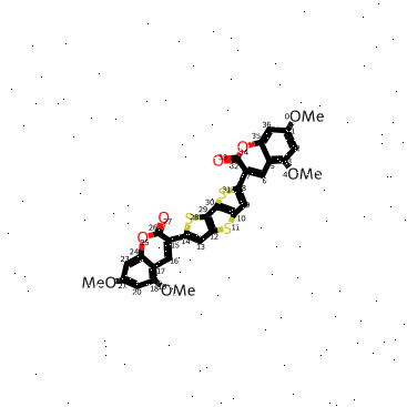 COc1cc(OC)c2cc(-c3cc4sc5cc(-c6cc7c(OC)cc(OC)cc7oc6=O)sc5c4s3)c(=O)oc2c1